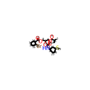 C=C(C)C(=O)OCC(COC(=O)c1ccccc1Br)OC(=O)Nc1cccc(SC)c1